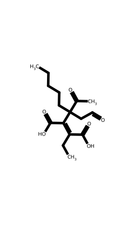 CCCCCC(CC=O)(C(C)=O)C(C(=O)O)=C(CC)C(=O)O